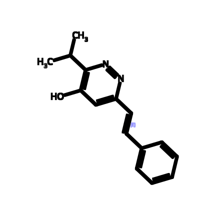 CC(C)c1nnc(/C=C/c2ccccc2)cc1O